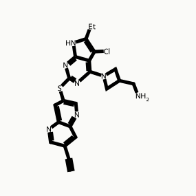 C#Cc1cnc2cc(Sc3nc(N4CC(CN)C4)c4c(Cl)c(CC)[nH]c4n3)cnc2c1